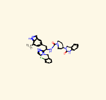 Cc1cc(CC(NC(=O)N2CCC(N3Cc4ccccc4NC3=O)CC2)c2nccn2Cc2ccccc2F)cc2cn[nH]c12